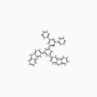 c1ccc(-c2nc(-c3cccnc3)cc(-c3cc(-c4ccc5sc6ccccc6c5c4)cc(-c4ccc5sc6ccccc6c5c4)c3)n2)cc1